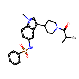 CC(C(=O)N1CCC(c2cn(C)c3ccc(NS(=O)(=O)c4ccccc4)cc23)CC1)C(C)(C)C